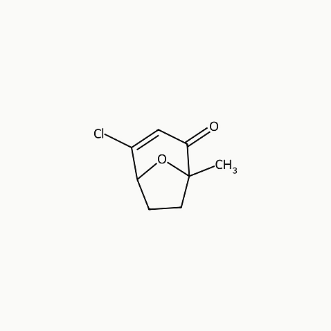 CC12CCC(O1)C(Cl)=CC2=O